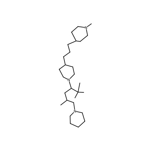 CC(CC(N1CCC(CCCC2CCN(C)CC2)CC1)C(C)(C)C)CN1CCCCC1